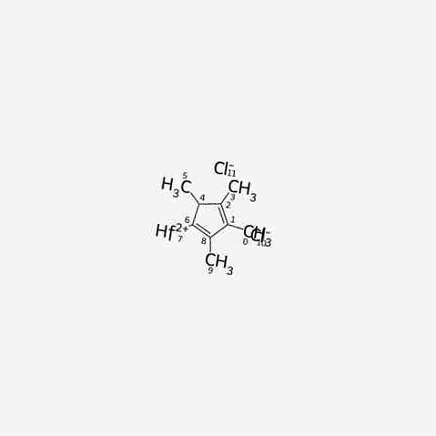 CC1=C(C)C(C)[C]([Hf+2])=C1C.[Cl-].[Cl-]